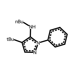 CCCCNc1c(C(C)(C)C)cnn1-c1ccccc1